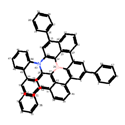 c1ccc(-c2cc3c4c(c2)-c2cccc5c(-c6ccccc6)cc6c(c25)B4c2c(cc(-c4ccccc4)c4cccc-3c24)N6c2ccccc2-c2ccccc2)cc1